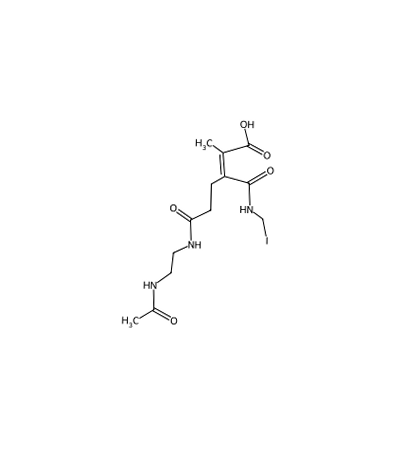 CC(=O)NCCNC(=O)CC/C(C(=O)NCI)=C(\C)C(=O)O